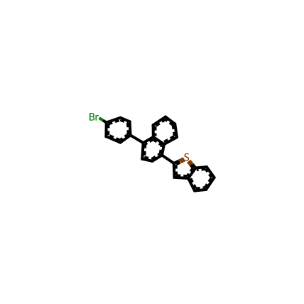 Brc1ccc(-c2ccc(-c3cc4ccccc4s3)c3ccccc23)cc1